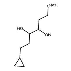 CCCCCCCCC(O)C(O)CCC1CC1